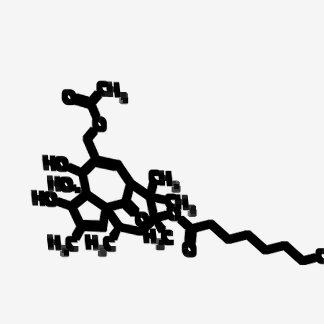 CCCCCCCC(=O)O[C@]1(C)C[C@@H](C)C23C=C(C)C(O)[C@@]2(O)C(O)C(COC(C)=O)=CC(C3=O)C1(C)C